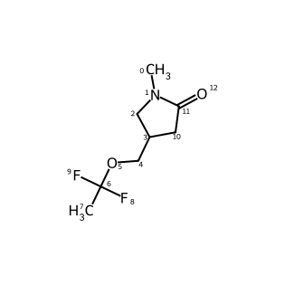 CN1CC(COC(C)(F)F)CC1=O